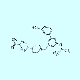 CC(C)Oc1cc(CN2CCN(c3ccc(C(=O)O)nn3)CC2)cc(-c2cccc(O)c2)c1